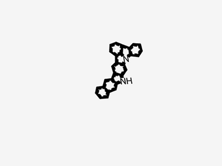 c1ccc2cc3c(cc2c1)[nH]c1cc2c(cc13)c1cccc3c4ccccc4n2c31